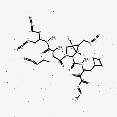 [N-]=[N+]=NCC[C@@H](C(=O)N1C[C@@H]2C(CN=[N+]=[N-])[C@@H]2[C@H]1C(=O)N(N)C(CC1CCC1)C(=O)C(=O)N=NN)N(N)C(=O)N(N)C(CN=[N+]=[N-])CN=[N+]=[N-]